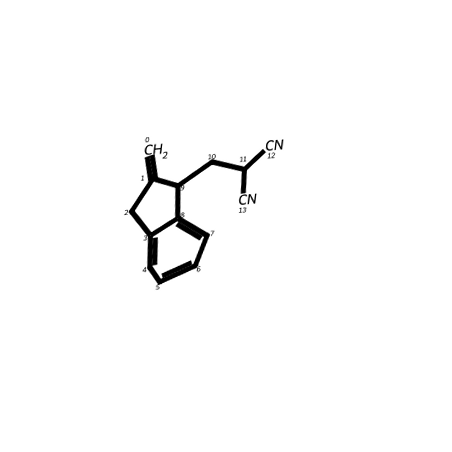 C=C1Cc2ccccc2C1CC(C#N)C#N